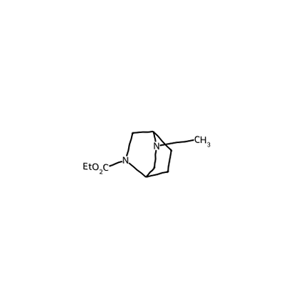 CCOC(=O)N1CC2CCC1CN2C